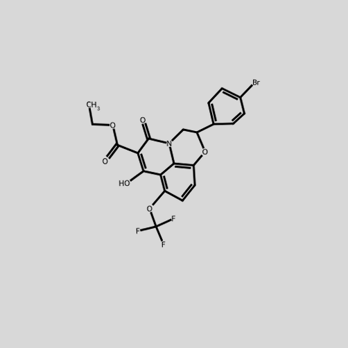 CCOC(=O)c1c(O)c2c(OC(F)(F)F)ccc3c2n(c1=O)CC(c1ccc(Br)cc1)O3